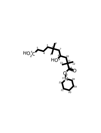 CC(C)(CCCC(=O)O)CC(O)CC(C)(C)C(=O)ON1CCCCC1